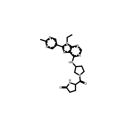 CCn1c(-c2cnc(C)nc2)nc2c(NC3CCN(C(=O)C4CCC(=O)N4)C3)ncnc21